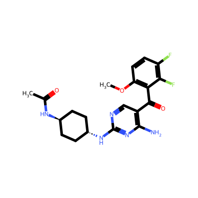 COc1ccc(F)c(F)c1C(=O)c1cnc(N[C@H]2CC[C@H](NC(C)=O)CC2)nc1N